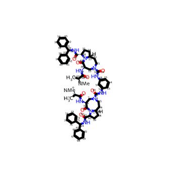 CN[C@@H](C)C(=O)N[C@H]1CN(C(=O)Nc2cccc(NC(=O)N3CC[C@H]4CC[C@@H](C(=O)NC(c5ccccc5)c5ccccc5)N4C(=O)[C@@H](NC(=O)[C@H](C)NC)C3)c2)CC[C@H]2CCC(C(=O)NC(c3ccccc3)c3ccccc3)N2C1=O